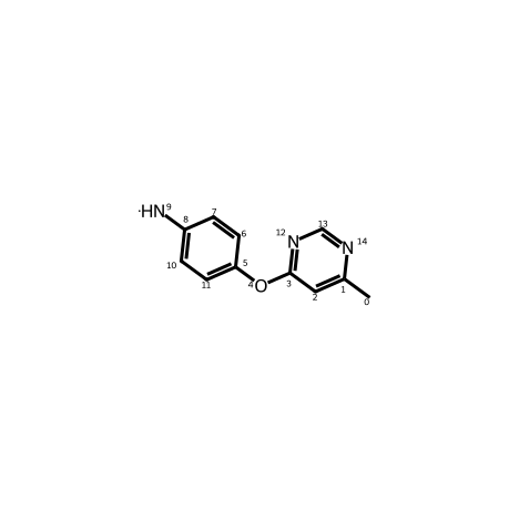 Cc1cc(Oc2ccc([NH])cc2)ncn1